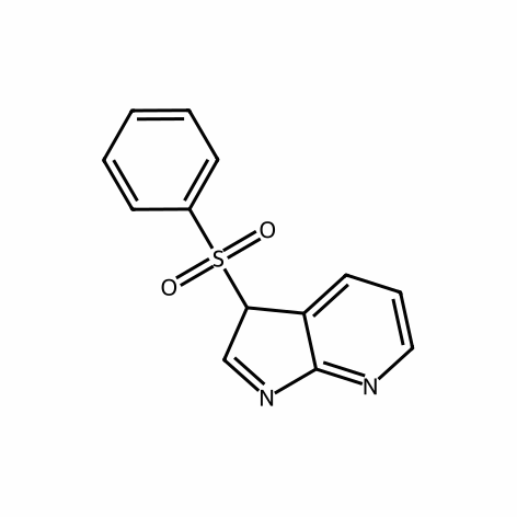 O=S(=O)(c1ccccc1)C1C=Nc2ncccc21